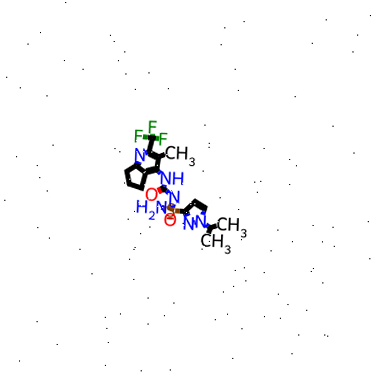 Cc1c(C(F)(F)F)nc2c(c1NC(=O)N=S(N)(=O)c1ccn(C(C)C)n1)CCC2